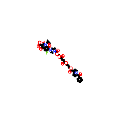 COc1c(N2CCN(C(=O)OCOC(=O)CCC(=O)OCCCOC(=O)C3CCn4c(C(=O)c5ccccc5)ccc43)C(C)C2)c(F)cc2c(=O)c(C(=O)O)cn(C3CC3)c12